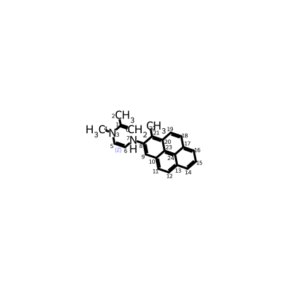 C=C(C)N(C)/C=C\Nc1cc2ccc3cccc4ccc(c1C)c2c34